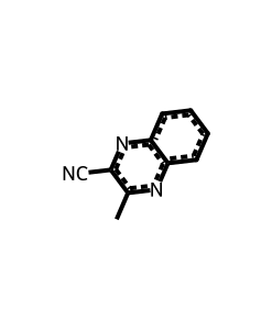 Cc1nc2ccccc2nc1C#N